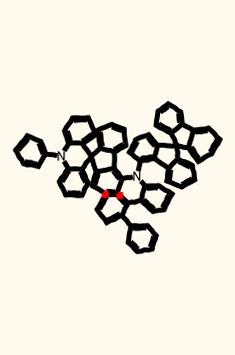 c1ccc(-c2ccccc2-c2ccccc2N(c2cccc3c2-c2ccccc2C32c3ccccc3-c3ccccc32)c2cccc3c2-c2ccccc2C32c3ccccc3N(c3ccccc3)c3ccccc32)cc1